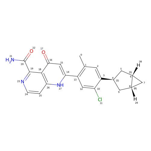 Cc1cc([C@H]2C[C@@H]3C[C@@H]3C2)c(Cl)cc1-c1cc(=O)c2c(C(N)=O)nccc2[nH]1